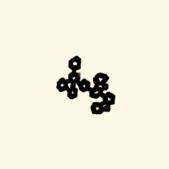 c1ccc(-c2cc(-c3ccccc3-c3ccccn3)nc(-c3ccc(-c4ccc(-c5cccc6oc7ccccc7c56)c5oc6ccccc6c45)cc3)n2)cc1